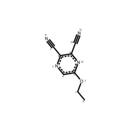 CCOc1cnc(C#N)c(C#N)n1